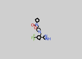 O=C1OC2(CCN(Cc3cc(C(F)(F)F)ccc3-c3cn[nH]c3)CC2)CN1c1ccccc1